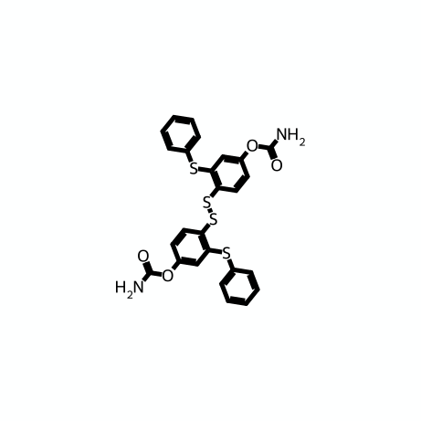 NC(=O)Oc1ccc(SSc2ccc(OC(N)=O)cc2Sc2ccccc2)c(Sc2ccccc2)c1